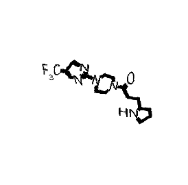 O=C(CCC1CCCN1)N1CCN(c2ncc(C(F)(F)F)cn2)CC1